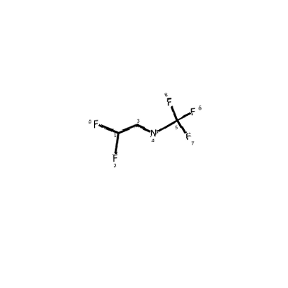 FC(F)C[N]C(F)(F)F